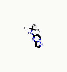 CC(C)(C)Nc1ccn2nccc2n1